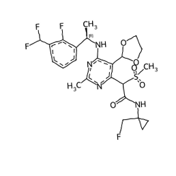 Cc1nc(N[C@H](C)c2cccc(C(F)F)c2F)c(C2OCCO2)c(C(C(=O)NC2(CF)CC2)S(C)(=O)=O)n1